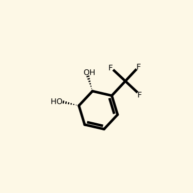 O[C@@H]1C(C(F)(F)F)=CC=C[C@@H]1O